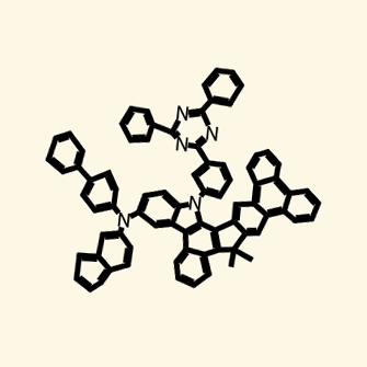 CC1(C)c2cc3c4ccccc4c4ccccc4c3cc2-c2c1c1ccccc1c1c3cc(N(c4ccc(-c5ccccc5)cc4)c4ccc5ccccc5c4)ccc3n(-c3cccc(-c4nc(-c5ccccc5)nc(-c5ccccc5)n4)c3)c21